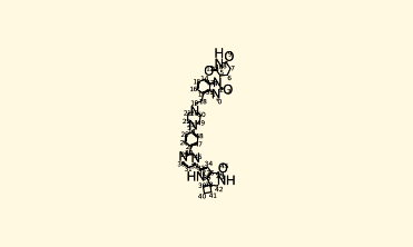 Cn1c(=O)n(C2CCC(=O)NC2=O)c2cccc(CCN3CCN(c4ccc(-c5nccc(-c6cc7c([nH]6)C6(CCC6)CNC7=O)n5)cc4)CC3)c21